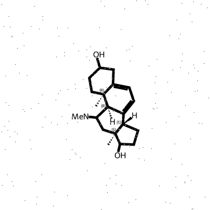 CNC1C[C@]2(C)C(O)CC[C@H]2C2=CC=C3CC(O)CC[C@]3(C)[C@@H]21